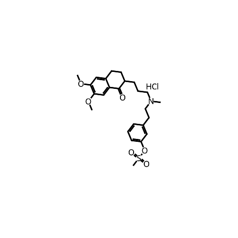 COc1cc2c(cc1OC)C(=O)C(CCCN(C)CCc1cccc(OS(C)(=O)=O)c1)CC2.Cl